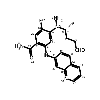 C[C@H](CCC=O)N(N)c1nc(Nc2ccc3cccnc3c2)c(C(N)=O)cc1F